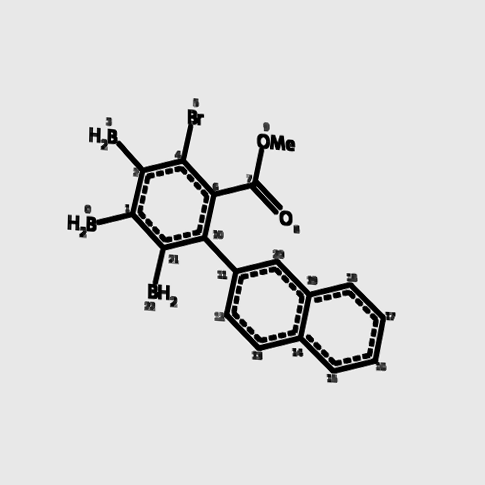 Bc1c(B)c(Br)c(C(=O)OC)c(-c2ccc3ccccc3c2)c1B